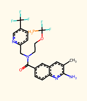 Cc1cc2cc(C(=O)N(CCOC(F)(F)P)Cc3ccc(C(F)(F)F)cn3)ccc2nc1N